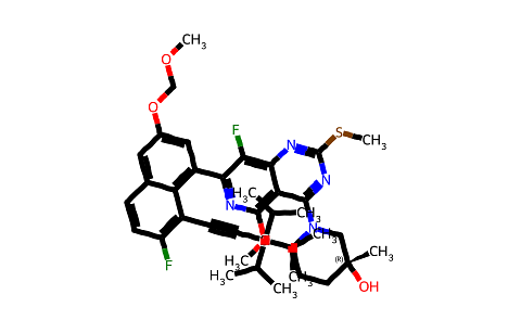 COCOc1cc(-c2nc(OC)c3c(N4CCC[C@@](C)(O)C4)nc(SC)nc3c2F)c2c(C#C[Si](C(C)C)(C(C)C)C(C)C)c(F)ccc2c1